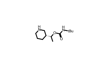 CC(OC(=O)NC(C)(C)C)[C@@H]1CCCNC1